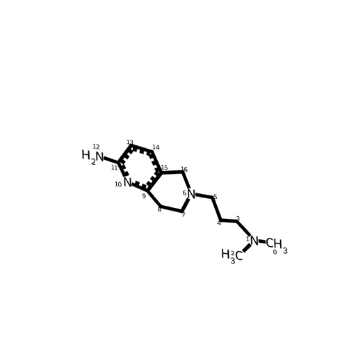 CN(C)CCCN1CCc2nc(N)ccc2C1